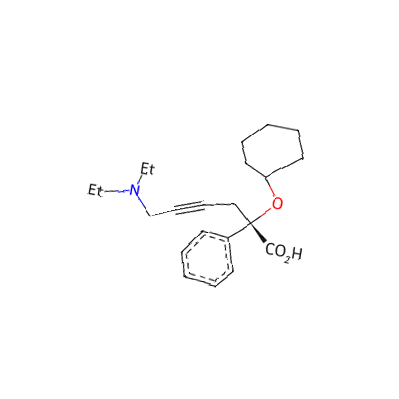 CCN(CC)CC#CC[C@@](OC1CCCCC1)(C(=O)O)c1ccccc1